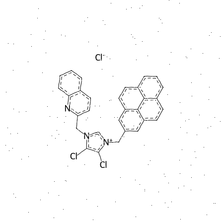 Clc1c(Cl)[n+](Cc2cc3ccc4cccc5ccc(c2)c3c45)cn1Cc1ccc2ccccc2n1.[Cl-]